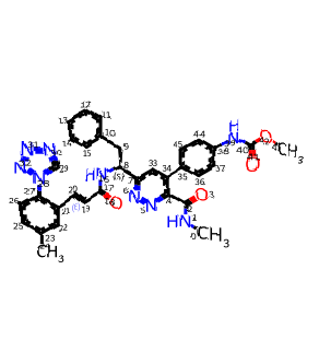 CNC(=O)c1nnc([C@H](Cc2ccccc2)NC(=O)/C=C/c2cc(C)ccc2-n2cnnn2)cc1-c1ccc(NC(=O)OC)cc1